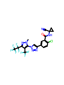 Cn1nc(C(F)(F)C(F)(F)F)c(C(F)(F)F)c1-n1cc(-c2ccc(Cl)c(C(=O)NC3(C#N)CC3)c2)nn1